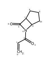 C=CC(=O)N1C(=O)C2CCCC21